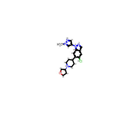 Cn1cc(-n2ncc3cc(Cl)c(C4CCN([C@H]5CCOC5)CC4)cc32)cn1